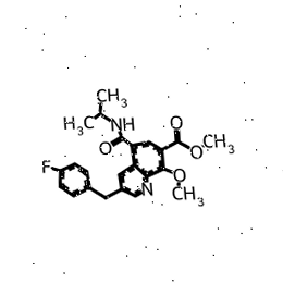 COC(=O)c1cc(C(=O)NC(C)C)c2cc(Cc3ccc(F)cc3)cnc2c1OC